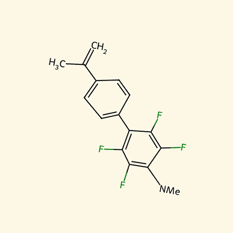 C=C(C)c1ccc(-c2c(F)c(F)c(NC)c(F)c2F)cc1